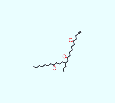 C#CCCC(=O)CCCCCC(=O)CC(CCC)CCCC(=O)CCCCCCC